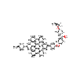 CCCC(C)(C)Oc1ccc(C(=O)c2ccc(Oc3ccc(-c4ccc(-c5c(-c6ccccc6)c(-c6ccccc6)c(-c6ccc(-c7ccc(C(C)CC)cc7)cc6)c(-c6ccccc6)c5-c5ccccc5)cc4)cc3)cc2)cc1